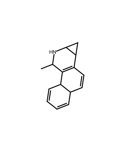 CC1NC2CC2C2=C1C1C=CC=CC1C=C2